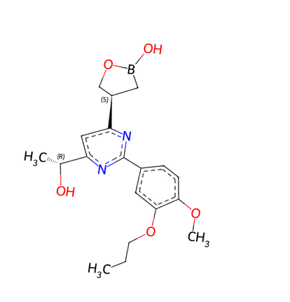 CCCOc1cc(-c2nc([C@H]3COB(O)C3)cc([C@@H](C)O)n2)ccc1OC